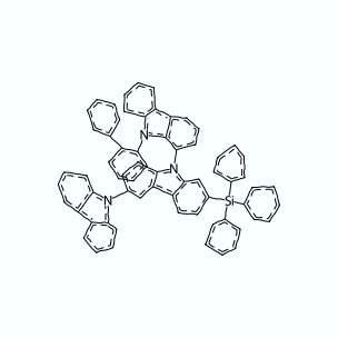 c1ccc(-c2ccccc2-n2c3ccccc3c3cccc(-n4c5ccc(-n6c7ccccc7c7ccccc76)cc5c5ccc([Si](c6ccccc6)(c6ccccc6)c6ccccc6)cc54)c32)cc1